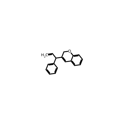 C=CC(C1=Cc2ccccc2OC1)c1ccccc1